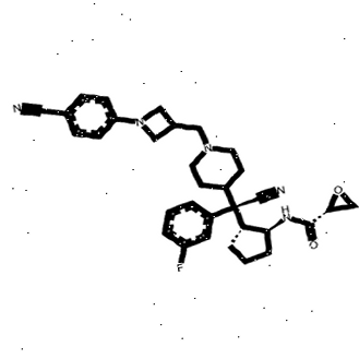 N#Cc1ccc(N2CC(CN3CCC([C@@](C#N)(c4cccc(F)c4)[C@H]4CCC[C@@H]4NC(=O)[C@H]4CO4)CC3)C2)cc1